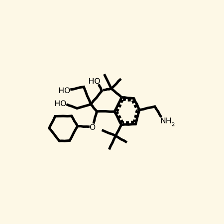 CC(C)(C)c1cc(CN)cc(C(C)(C)C)c1C(OC1CCCCC1)C(CO)(CO)CO